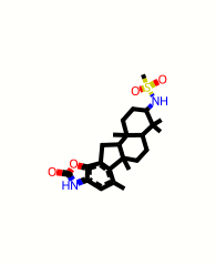 Cc1cc2[nH]c(=O)oc2c2c1C1(C)CCC3C(C)(C)C(NS(C)(=O)=O)CCC3(C)C1C2